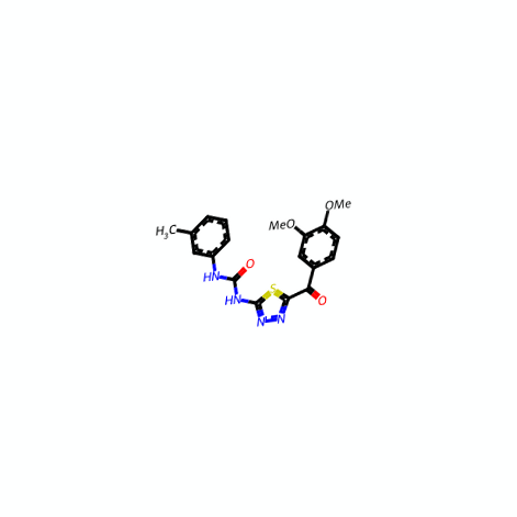 COc1ccc(C(=O)c2nnc(NC(=O)Nc3cccc(C)c3)s2)cc1OC